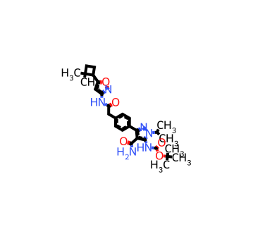 CC(C)n1nc(-c2ccc(CC(=O)Nc3cc(C4CCC4(C)C)on3)cc2)c(C(N)=O)c1NC(=O)OC(C)(C)C